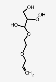 C=CCOCCOC(O)C(CO)OO